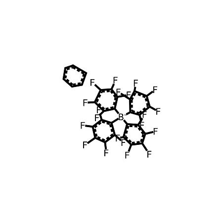 Fc1c(F)c(F)c([B-](c2c(F)c(F)c(F)c(F)c2F)(c2c(F)c(F)c(F)c(F)c2F)c2c(F)c(F)c(F)c(F)c2F)c(F)c1F.c1ccccc1